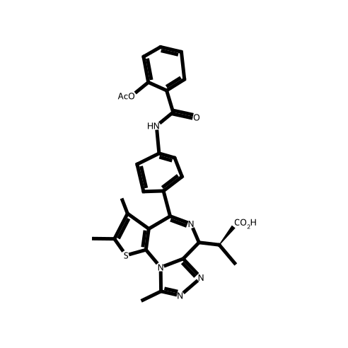 CC(=O)Oc1ccccc1C(=O)Nc1ccc(C2=NC([C@H](C)C(=O)O)c3nnc(C)n3-c3sc(C)c(C)c32)cc1